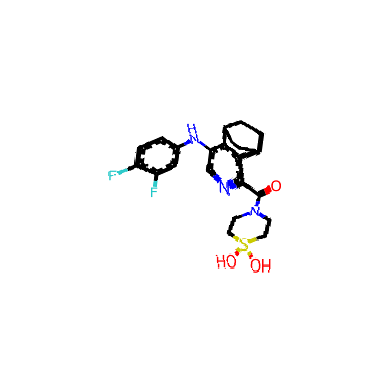 O=C(c1ncc(Nc2ccc(F)c(F)c2)c2c1C1CCC2CC1)N1CCS(O)(O)CC1